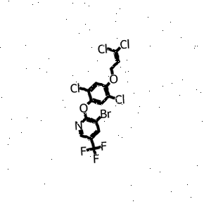 FC(F)(F)c1cnc(Oc2cc(Cl)c(OCC=C(Cl)Cl)cc2Cl)c(Br)c1